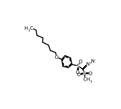 CCCCCCCCOc1ccc(S(=O)(=O)C(=[N+]=[N-])S(C)(=O)=O)cc1